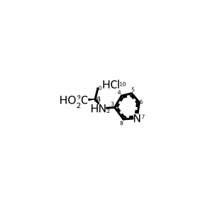 C[C@@H](Nc1cccnc1)C(=O)O.Cl